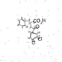 O=C(CC(Cc1ccccc1)C(=O)O)c1ccc(Cl)c(Cl)c1